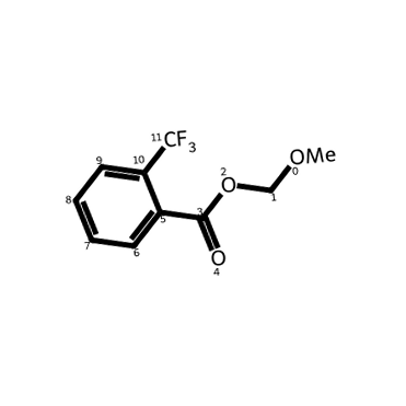 COCOC(=O)c1ccccc1C(F)(F)F